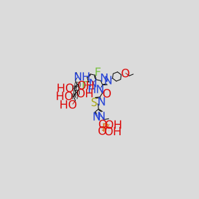 CCOC1CCC(n2cc(NC(=O)c3csc(-c4cnn(C(C)OP(=O)(O)O)c4)n3)c(-c3nc(F)ccc3F)n2)CC1.CNC[C@H](O)[C@@H](O)[C@H](O)[C@H](O)CO